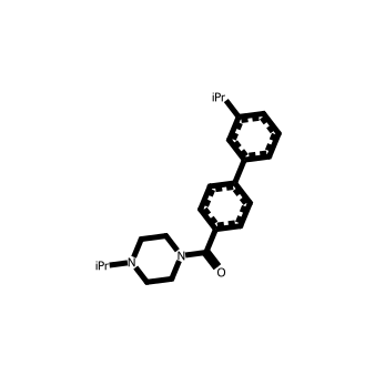 CC(C)c1cccc(-c2ccc(C(=O)N3CCN(C(C)C)CC3)cc2)c1